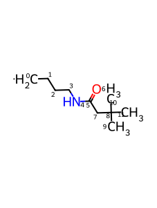 [CH2]CCCNC(=O)CC(C)(C)C